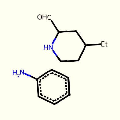 CCC1CCNC(C=O)C1.Nc1ccccc1